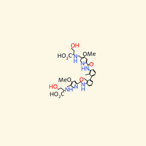 COc1cc(C(=O)Nc2cccc(-c3cccc(NC(=O)c4cc(OC)c(CNC(CCO)C(=O)O)cn4)c3C)c2C)ncc1CNC(CCO)C(=O)O